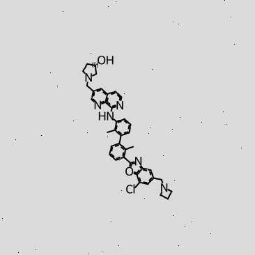 Cc1c(Nc2nccc3cc(CN4CC[C@H](O)C4)cnc23)cccc1-c1cccc(-c2nc3cc(CN4CCC4)cc(Cl)c3o2)c1C